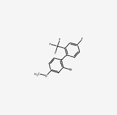 COc1ccc(-c2[c]cc(F)cc2C(F)(F)F)c(Br)c1